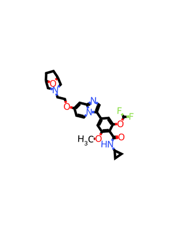 COc1cc(-c2cnc3cc(OCCN4CC5CCC(C4)O5)ccn23)cc(OC(F)F)c1C(=O)NC1CC1